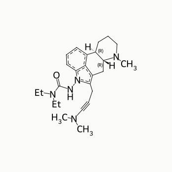 CCN(CC)C(=O)Nn1c(CC#CN(C)C)c2c3c(cccc31)[C@H]1CCCN(C)[C@@H]1C2